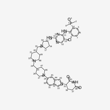 CP(C)(=O)c1ccccc1Nc1nc(N[C@@H]2CCN(CC3CCN(CC4CCN(c5ccc6cn(C7CCC(=O)NC7=O)cc6c5)CC4)CC3)C2)ncc1Cl